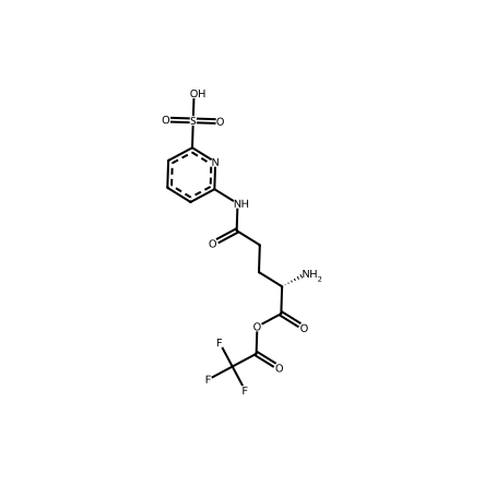 N[C@@H](CCC(=O)Nc1cccc(S(=O)(=O)O)n1)C(=O)OC(=O)C(F)(F)F